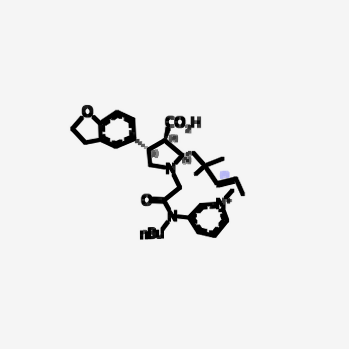 C/C=C/C(C)(C)C[C@H]1[C@H](C(=O)O)[C@@H](c2ccc3c(c2)CCO3)CN1CC(=O)N(CCCC)c1ccc[n+](C)c1